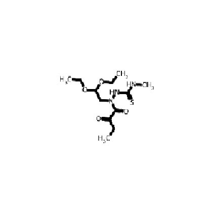 CCOC(CN(NC(=S)NC)C(=O)C(=O)CC)OCC